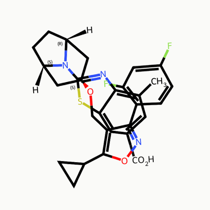 Cc1cc(C(=O)O)cc2sc(N3[C@@H]4CC[C@H]3C[C@H](OCc3c(-c5ccc(F)cc5F)noc3C3CC3)C4)nc12